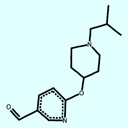 CC(C)CN1CCC(Oc2ccc(C=O)cn2)CC1